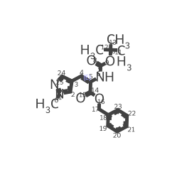 Cn1cc(/C=C(/NC(=O)OC(C)(C)C)C(=O)OCc2ccccc2)cn1